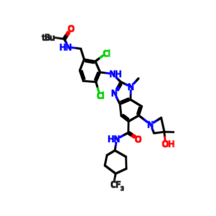 Cn1c(Nc2c(Cl)ccc(CNC(=O)C(C)(C)C)c2Cl)nc2cc(C(=O)NC3CCC(C(F)(F)F)CC3)c(N3CC(C)(O)C3)cc21